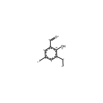 CCc1cc(I)cc(C=O)c1O